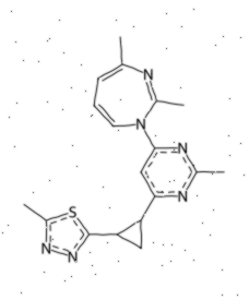 CC1=CC=CN(c2cc(C3CC3c3nnc(C)s3)nc(C)n2)C(C)=N1